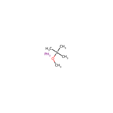 CO[Si](C)(C)C.P